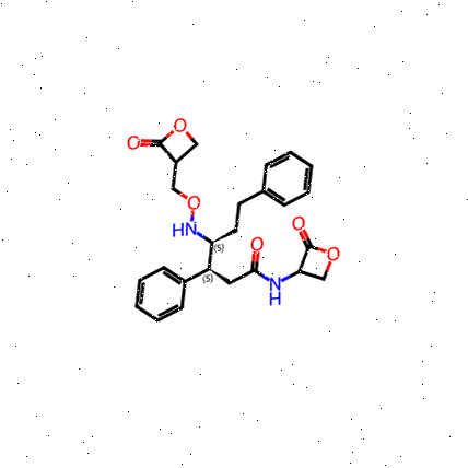 O=C(C[C@@H](c1ccccc1)[C@H](CCc1ccccc1)NOCC1COC1=O)NC1COC1=O